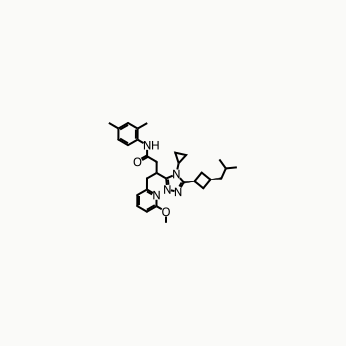 COc1cccc(CC(CC(=O)Nc2ccc(C)cc2C)c2nnc([C@H]3C[C@@H](CC(C)C)C3)n2C2CC2)n1